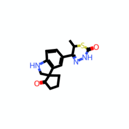 CC1SC(=O)NN=C1c1ccc2c(c1)C1(CCCC1=O)CN2